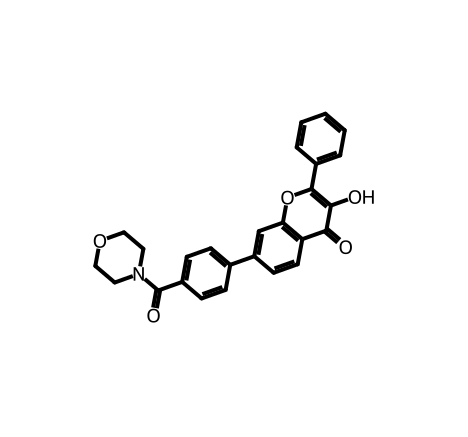 O=C(c1ccc(-c2ccc3c(=O)c(O)c(-c4ccccc4)oc3c2)cc1)N1CCOCC1